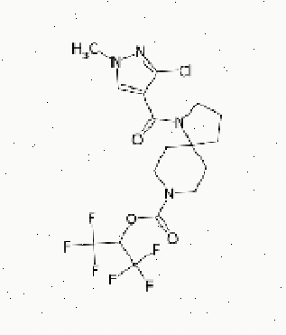 Cn1cc(C(=O)N2CCCC23CCN(C(=O)OC(C(F)(F)F)C(F)(F)F)CC3)c(Cl)n1